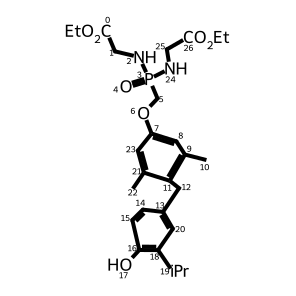 CCOC(=O)CNP(=O)(COc1cc(C)c(Cc2ccc(O)c(C(C)C)c2)c(C)c1)NCC(=O)OCC